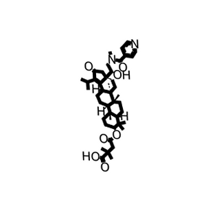 CC(C)C1=C2[C@H]3CC[C@@H]4[C@@]5(C)CC[C@H](OC(=O)CC(C)(C)C(=O)O)C(C)(C)[C@H]5CC[C@@]4(C)[C@]3(C)CC[C@@]2([C@@H](O)CN(C)C(=O)c2ccncc2)CC1=O